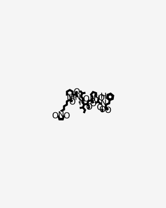 CCC(C)C(C(CC(=O)N1CCC[C@H]1C(OC)C(C)C(=O)NC(Cc1ccccc1)C(=O)OC)OC)N(C)C(=O)C(NC(=O)[C@]1(C)CCCCN1C(=O)CCCCCN1C(=O)C=CC1=O)C(C)C